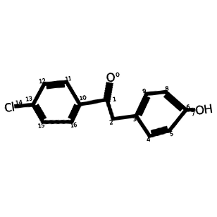 O=C(Cc1ccc(O)cc1)c1ccc(Cl)cc1